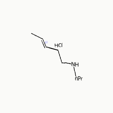 C/C=C/CCNCCC.Cl